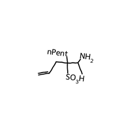 C=CCC(CCCCC)(C(C)N)S(=O)(=O)O